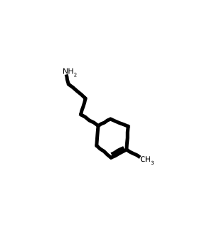 CC1=CCC(CCCN)CC1